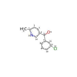 Cc1ccc(C(=O)c2cccc(Cl)c2)cn1